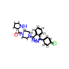 O=C([C@H]1CCCN1)N1CCN(c2nnc(-c3ccc(Cl)cc3)c3ccccc23)CC1